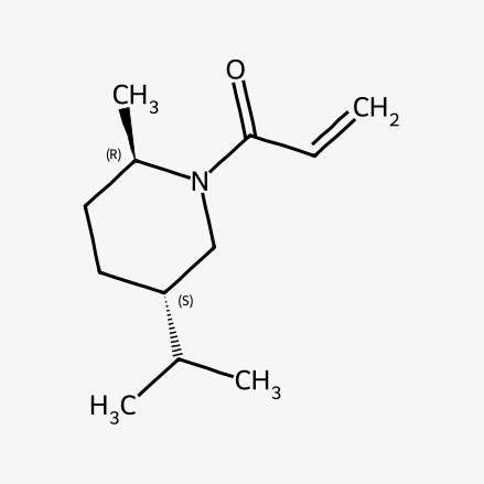 C=CC(=O)N1C[C@H](C(C)C)CC[C@H]1C